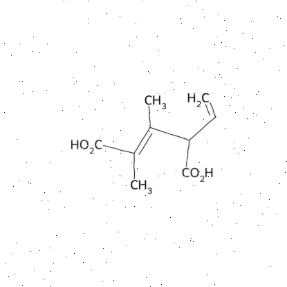 C=CC(C(=O)O)C(C)=C(C)C(=O)O